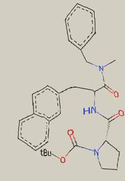 CN(Cc1ccccc1)C(=O)C(Cc1ccc2ccccc2c1)NC(=O)[C@@H]1CCCN1C(=O)OC(C)(C)C